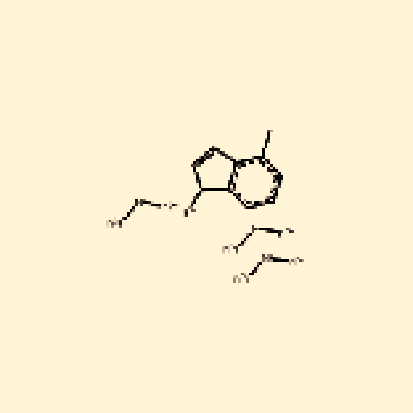 CCC[N-]CCC.CCC[N-]CCC.CCC[N-]CCC.Cc1cccc2c1C=C[CH]2[Ti+3]